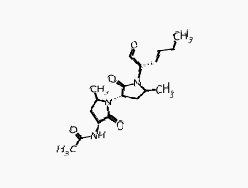 CCCC[C@@H](C=O)N1C(=O)[C@@H](N2C(=O)[C@@H](NC(C)=O)CC2C)CC1C